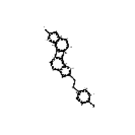 Cc1ccc(CCc2cc3ccc4c(c3s2)-c2ccc3cc(F)sc3c2-4)cc1